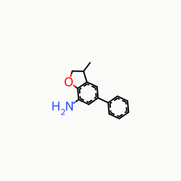 CC1COc2c(N)cc(-c3ccccc3)cc21